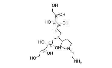 C[C@@H](CN(C[C@H](O)[C@@H](O)[C@H](O)CCO)C1CCN(CCN)CC1)[C@@H](O)[C@H](O)[C@H](O)CO